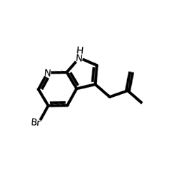 C=C(C)Cc1c[nH]c2ncc(Br)cc12